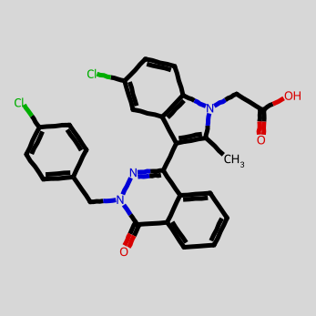 Cc1c(-c2nn(Cc3ccc(Cl)cc3)c(=O)c3ccccc23)c2cc(Cl)ccc2n1CC(=O)O